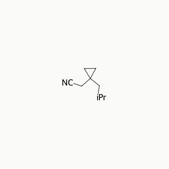 CC(C)CC1(CC#N)CC1